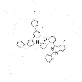 c1ccc(-c2ccc3c(c2)c2cc(-c4ccccc4)ccc2n3-c2cccc3c2oc2cccc(-c4nc(-c5ccccc5)nc5ccccc45)c23)cc1